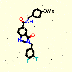 COc1ccc(CNC(=O)c2ccc3ncn(Cc4ccc(F)c(F)c4)c(=O)c3c2)cc1